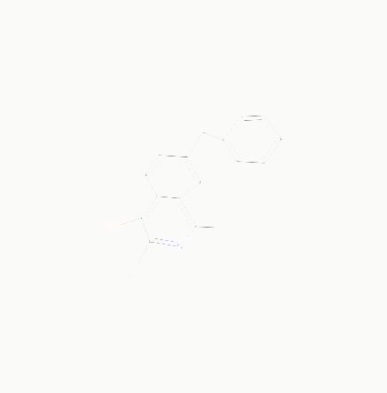 [CH2]c1nc(C)c2cc(Cc3ccccc3)ccc2c1O